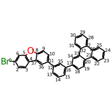 Brc1ccc2c(c1)oc1ccc(-c3cccc(-c4ccc5c6ccccc6c6ccccc6c5c4)c3)cc12